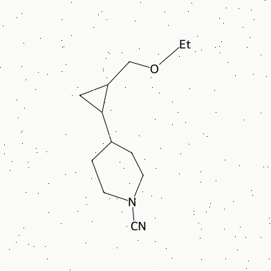 CCOCC1CC1C1CCN(C#N)CC1